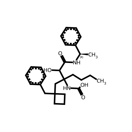 CCCCC(CC1(Cc2ccccc2)CCC1)(NC(=O)O)C(O)C(=O)N[C@H](C)c1ccccc1